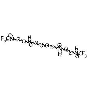 O=C(CCOCCOCCOCCOCCC(=O)NCCOCCOCCNC(=O)C(F)(F)F)NCCOCCOCCNC(=O)C(F)(F)F